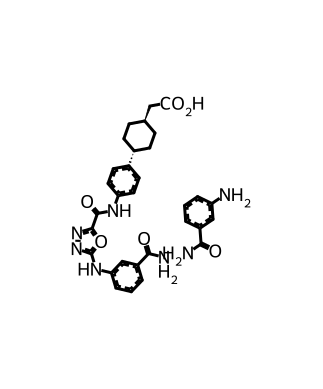 NC(=O)c1cccc(N)c1.NC(=O)c1cccc(Nc2nnc(C(=O)Nc3ccc([C@H]4CC[C@H](CC(=O)O)CC4)cc3)o2)c1